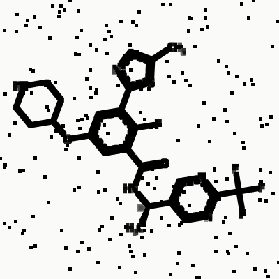 Cc1cnc(-c2cc(OC3CCNCC3)cc(C(=O)N[C@H](C)c3cnc(C(F)(F)F)nc3)c2F)s1